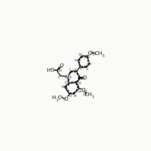 COc1ccc(-c2cn(CC(=O)O)c3cc(OC)cc(OC)c3c2=O)cc1